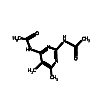 CC(=O)Nc1nc(C)c(C)c(NC(C)=O)n1